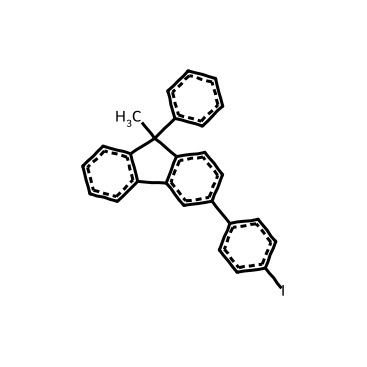 CC1(c2ccccc2)c2ccccc2-c2cc(-c3ccc(I)cc3)ccc21